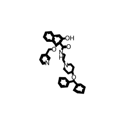 O=C(NCCN1CCC(OC(c2ccccc2)c2ccccc2)CC1)c1c(O)cc2ccccc2c1OCc1cccnc1